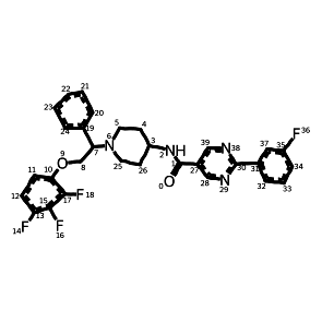 O=C(NC1CCN(C(COc2ccc(F)c(F)c2F)c2ccccc2)CC1)c1cnc(-c2cccc(F)c2)nc1